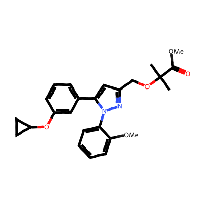 COC(=O)C(C)(C)OCc1cc(-c2cccc(OC3CC3)c2)n(-c2ccccc2OC)n1